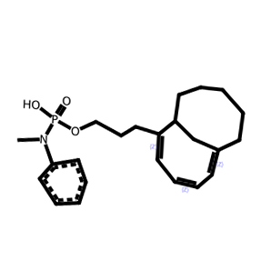 CN(c1ccccc1)P(=O)(O)OCCC/C1=C/C=C\C=C2\CCCCCC1C2